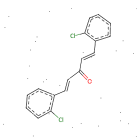 O=C(/C=C/c1ccccc1Cl)/C=C/c1ccccc1Cl